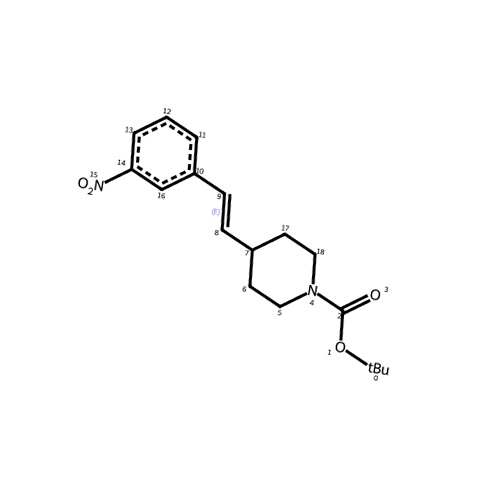 CC(C)(C)OC(=O)N1CCC(/C=C/c2cccc([N+](=O)[O-])c2)CC1